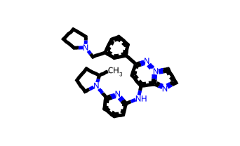 CC1CCCN1c1cccc(Nc2cc(-c3cccc(CN4CCCC4)c3)nn3ccnc23)n1